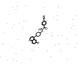 C[C@@H](NC(=O)c1ccc(C#N)cc1)C1CCC(c2ccnc3ccc(F)cc23)CC1